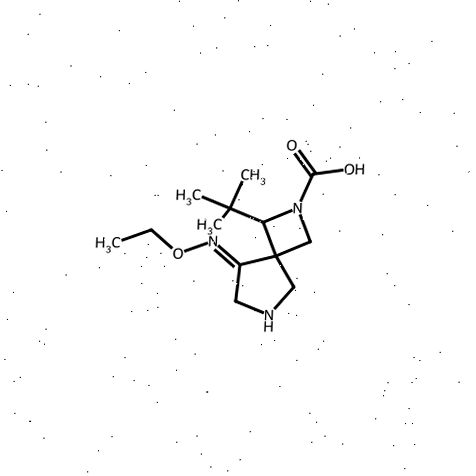 CCON=C1CNCC12CN(C(=O)O)C2C(C)(C)C